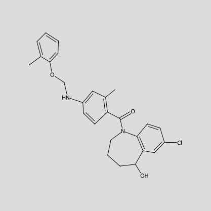 Cc1ccccc1OCNc1ccc(C(=O)N2CCCC(O)c3cc(Cl)ccc32)c(C)c1